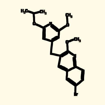 COc1cc(Cc2cc3cc(Br)ccc3nc2OC)cc(OC(C)C)n1